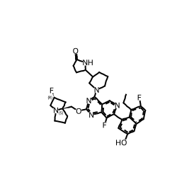 CCc1c(F)ccc2cc(O)cc(-c3ncc4c(N5CCCC(C6CCC(=O)N6)C5)nc(OC[C@@]56CCCN5C[C@H](F)C6)nc4c3F)c12